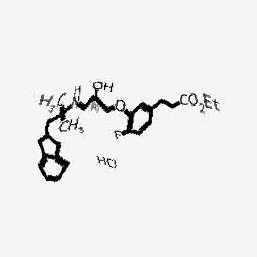 CCOC(=O)CCc1ccc(F)c(OC[C@H](O)CNC(C)(C)CC2Cc3ccccc3C2)c1.Cl